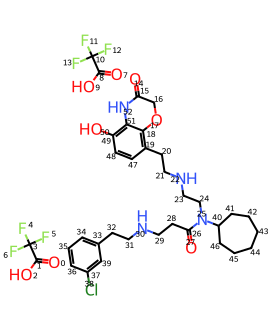 O=C(O)C(F)(F)F.O=C(O)C(F)(F)F.O=C1COc2c(CCNCCN(C(=O)CCNCCc3cccc(Cl)c3)C3CCCCCC3)ccc(O)c2N1